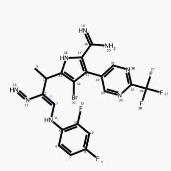 CC(/C(=C/Nc1ccc(F)cc1F)N=N)c1[nH]c(C(=N)N)c(-c2cnc(C(F)(F)F)nc2)c1Br